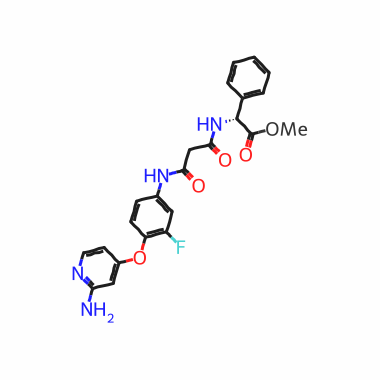 COC(=O)[C@H](NC(=O)CC(=O)Nc1ccc(Oc2ccnc(N)c2)c(F)c1)c1ccccc1